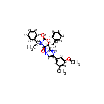 COc1cc(C)cc(-c2c[nH]c([C@@]3(Cc4ccccc4)OC(=O)N([C@H](C)c4ccccc4)C3=O)n2)c1